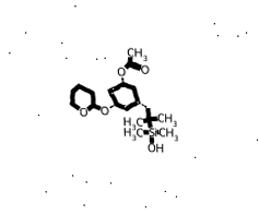 CC(=O)O[C@@H]1C[C@H](CC(C)(C)[Si](C)(C)O)C[C@H](OC2CCCCO2)C1